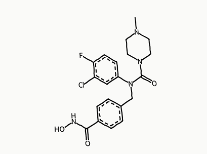 CN1CCN(C(=O)N(Cc2ccc(C(=O)NO)cc2)c2ccc(F)c(Cl)c2)CC1